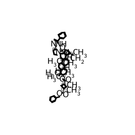 C=C(C)[C@@H]1CC[C@]2(C(=O)N3CCC[C@H]3c3ncc(-c4ccccc4)[nH]3)CC[C@]3(C)[C@H](CC[C@@H]4[C@@]5(C)CC[C@H](OC(=O)[C@@H]6C[C@H](C(=O)OCc7ccccc7)C6(C)C)C(C)(C)[C@@H]5CC[C@]43C)[C@@H]12